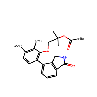 CCCCC(=O)OC(C)(C)COc1c(-c2cccc3c2CNC3=O)ccc(OC)c1OC